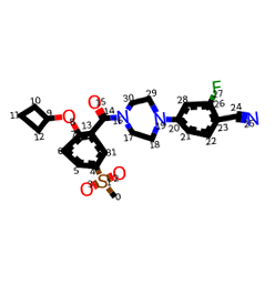 CS(=O)(=O)c1ccc(OC2CCC2)c(C(=O)N2CCN(c3ccc(C#N)c(F)c3)CC2)c1